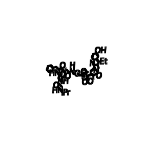 CCc1c2c(nc3ccc(O)cc13)-c1cc3c(c(=O)n1C2)COC(=O)[C@@]3(CC)OC(=O)COCNC(=O)CNC(=O)[C@H](Cc1ccccc1)NC(=O)CNC(=O)CNC(C)C